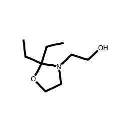 CCC1(CC)OCCN1CCO